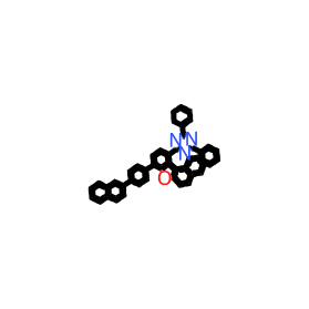 C1=CCCC(c2nc(-c3ccccc3)nc(-c3ccc(-c4ccc(-c5ccc6ccccc6c5)cc4)c4oc5ccc6ccccc6c5c34)n2)=C1